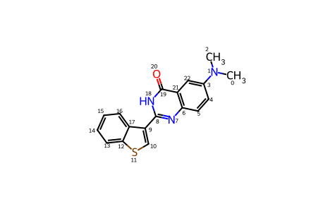 CN(C)c1ccc2nc(-c3csc4ccccc34)[nH]c(=O)c2c1